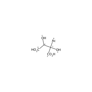 CC(=O)C(O)(C(=O)O)C(O)C(=O)O